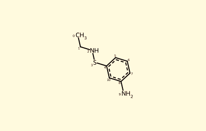 CCNSc1cccc(N)c1